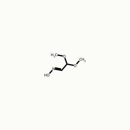 COC(C=NO)OC